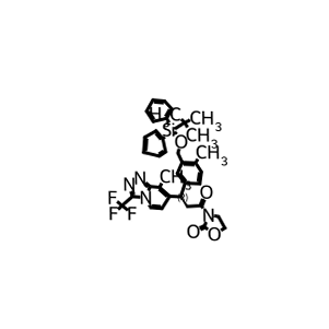 Cc1ccc([C@@H](CC(=O)N2CCOC2=O)c2ccn3c(C(F)(F)F)nnc3c2C)cc1CO[Si](c1ccccc1)(c1ccccc1)C(C)(C)C